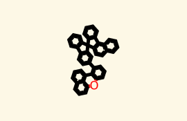 c1ccc2c(c1)-c1ccc(-c3cccc4c3-c3cccc5cccc(c35)O4)cc1C21c2ccccc2-c2c1ccc1ccccc21